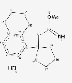 COC(=N)CC1(c2cccc3c2CCCC3)CCCC1.Cl